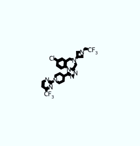 FC(F)(F)CN1CC(N2Cc3cc(Cl)ccc3-n3c(nnc3C3CCN(c4nccc(C(F)(F)F)n4)CC3)C2)C1